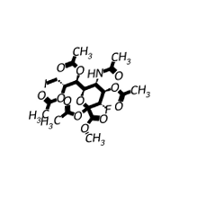 COC(=O)C1(OC(C)=O)O[C@@H]([C@H](OC(C)=O)[C@@H](CI)OC(C)=O)[C@H](NC(C)=O)[C@@H](OC(C)=O)[C@@H]1F